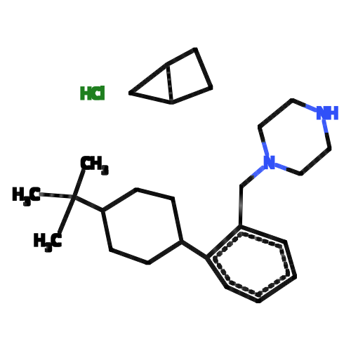 C1CC2CC12.CC(C)(C)C1CCC(c2ccccc2CN2CCNCC2)CC1.Cl